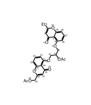 CCc1cc(=O)c2c(OCC(COc3cccc4oc(COC(C)=O)cc(=O)c34)OC(C)=O)cccc2o1